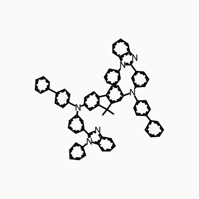 CC1(C)c2cc(N(c3ccc(-c4ccccc4)cc3)c3cccc(-c4nc5ccccc5n4-c4ccccc4)c3)ccc2-c2ccc(N(c3ccc(-c4ccccc4)cc3)c3cccc(-c4nc5ccccc5n4-c4ccccc4)c3)cc21